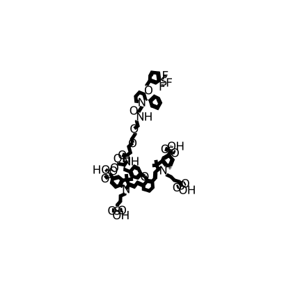 CC1(C)C(/C=C/C2=C(Oc3ccc(C[C@H](NC(=O)CCOCCOCCNC(=O)CN4CCC[C@H](OCc5cccc(S(F)(F)F)c5)[C@@H]4c4ccccc4)C(=O)O)cc3)C(=C/C=C3/N(CCCCS(=O)(=O)O)c4ccc(S(=O)(=O)O)cc4C3(C)C)/CCC2)=[N+](CCCCS(=O)(=O)O)c2ccc(S(=O)(=O)O)cc21